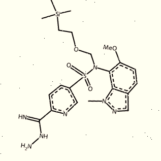 COc1ccc2cnn(C)c2c1N(COCC[Si](C)(C)C)S(=O)(=O)c1ccc(C(=N)NN)nc1